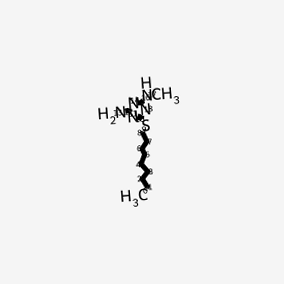 CCCCCCCCCSc1nc(N)nc(NC)n1